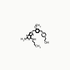 CCCCNc1nc(N)nc2cn(Cc3ccc(CN4CCN(CCO)CC4)cc3OC)nc12